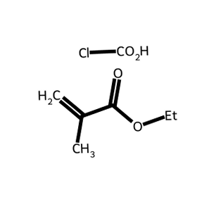 C=C(C)C(=O)OCC.O=C(O)Cl